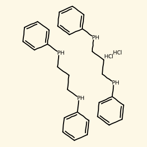 Cl.Cl.c1ccc(PCCCPc2ccccc2)cc1.c1ccc(PCCCPc2ccccc2)cc1